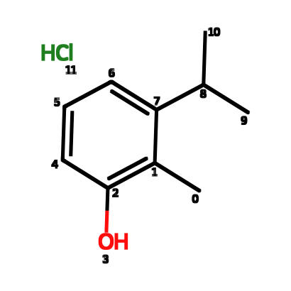 Cc1c(O)cccc1C(C)C.Cl